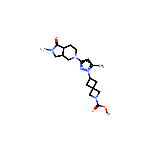 Cc1cc(N2CCC3C(=O)N(C)CC3C2)nn1C1CC2(C1)CN(C(=O)OC(C)(C)C)C2